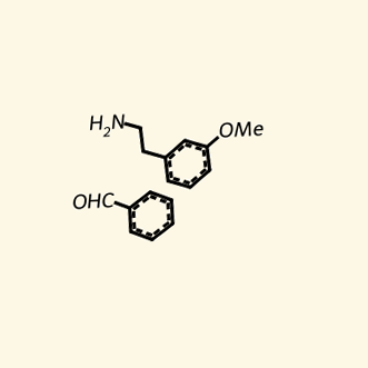 COc1cccc(CCN)c1.O=Cc1ccccc1